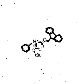 CC(C)(C)OC(=O)[C@H](Cc1ccccc1)NC(=O)OCC1c2ccccc2-c2ccccc21